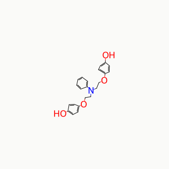 Oc1ccc(OCCN(CCOc2ccc(O)cc2)c2ccccc2)cc1